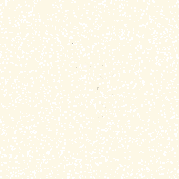 Cc1nc(OCC(F)(F)F)cnc1C(=O)Nc1ccc(F)c(C(C)(CF)/N=C(/N)O[C@@H](C)C(F)(F)F)c1